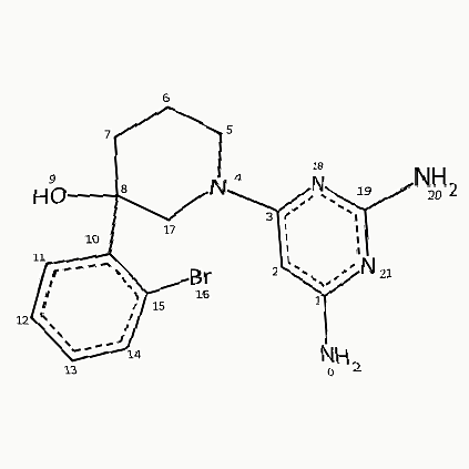 Nc1cc(N2CCCC(O)(c3ccccc3Br)C2)nc(N)n1